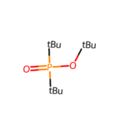 CC(C)(C)OP(=O)(C(C)(C)C)C(C)(C)C